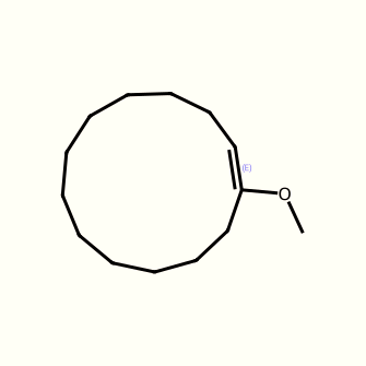 CO/C1=C/CCCCCCCCCCC1